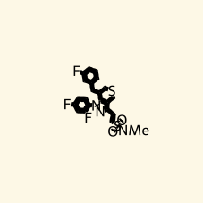 CNS(=O)(=O)/C=C/c1nn(-c2ccc(F)cc2F)c2c1CSCC2Cc1cccc(F)c1